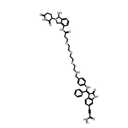 CCNC(=O)C#Cc1ccc2c(c1)NC(=O)/C2=C(\Nc1ccc(CNCCOCCOCCOCCC(=O)Nc2cccc3c2CN(C2CCC(=O)NC2=O)C3O)cc1)c1ccccc1